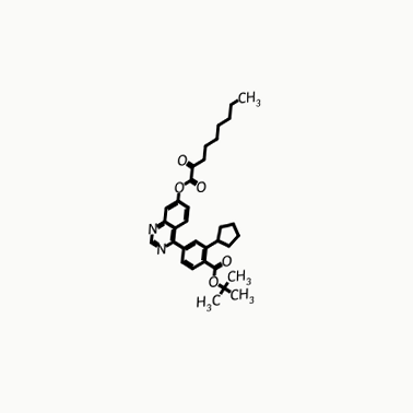 CCCCCCCC(=O)C(=O)Oc1ccc2c(-c3ccc(C(=O)OC(C)(C)C)c(C4CCCC4)c3)ncnc2c1